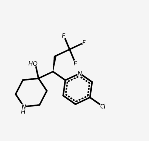 OC1([C@@H](CC(F)(F)F)c2ccc(Cl)cn2)CCNCC1